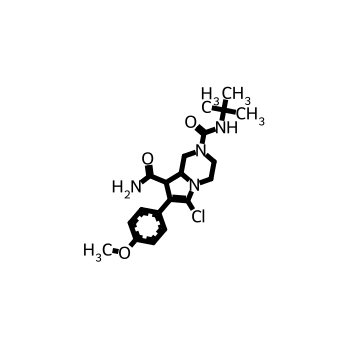 COc1ccc(C2=C(Cl)N3CCN(C(=O)NC(C)(C)C)CC3C2C(N)=O)cc1